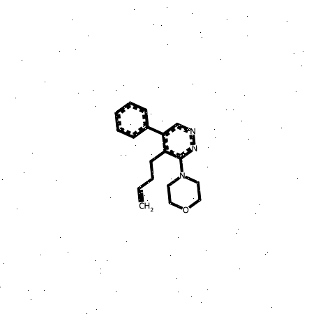 C=CCCc1c(-c2ccccc2)cnnc1N1CCOCC1